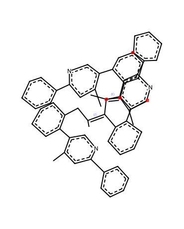 C/C(Cc1ccccc1-c1cnc(-c2ccccc2)cc1C)=C(/C(C)=C(/c1ccccc1-c1cnc(-c2ccccc2)cc1C)C(C)C)c1ccccc1-c1cnc(-c2ccccc2)cc1C